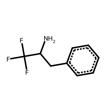 NC(Cc1ccccc1)C(F)(F)F